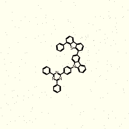 c1ccc(-c2nc(-c3ccccc3)nc(-c3ccc(-n4c5ccccc5c5cc(-c6cccc7c6sc6c(-c8ccccc8)cccc67)ccc54)cc3)n2)cc1